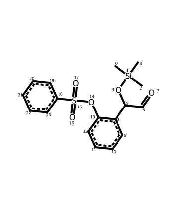 C[Si](C)(C)OC(C=O)c1ccccc1OS(=O)(=O)c1ccccc1